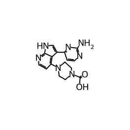 Nc1nccc(-c2c[nH]c3nccc(N4CCN(C(=O)O)CC4)c23)n1